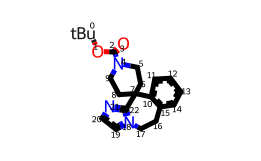 CC(C)(C)OC(=O)N1CCC2(CC1)c1ccccc1CCn1ccnc12